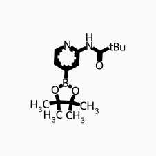 CC(C)(C)C(=O)Nc1cc(B2OC(C)(C)C(C)(C)O2)ccn1